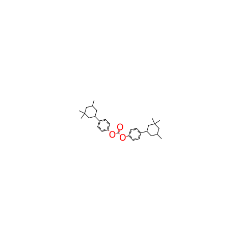 CC1CC(c2ccc(OC(=O)Oc3ccc(C4CC(C)CC(C)(C)C4)cc3)cc2)CC(C)(C)C1